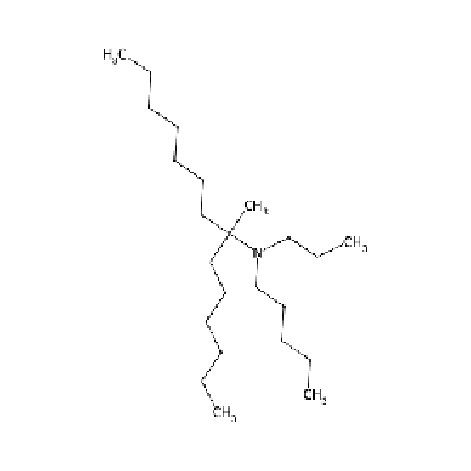 CCCCCCCC(C)(CCCCCC)N(CCC)CCCCC